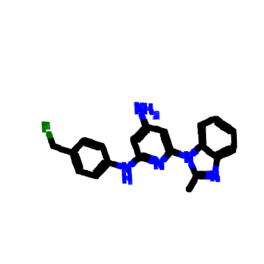 Cc1nc2ccccc2n1-c1cc(N)cc(Nc2ccc(CF)cc2)n1